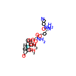 C[C@@H]1C[C@H]2[C@@H]3CCC4=CC(=O)C=C[C@]4(C)[C@@]3(F)[C@@H](O)C[C@]2(C)[C@@]1(O)C(=O)COC(=O)C[C@H](N)C(=O)OCc1cccc([C@@H](CN)C(=O)Nc2ccc3cnccc3c2)c1